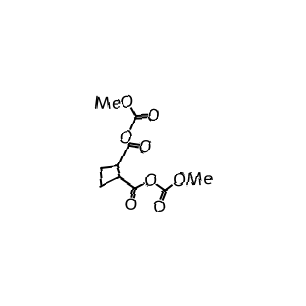 COC(=O)OC(=O)C1CCC1C(=O)OC(=O)OC